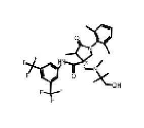 Cc1cccc(C)c1N1C[C@@](CN(C)C(C)(C)CO)(C(=O)Nc2cc(C(F)(F)F)cc(C(F)(F)F)c2)C(C)C1=O